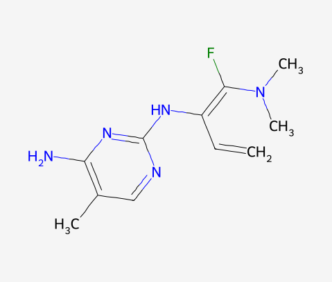 C=C/C(Nc1ncc(C)c(N)n1)=C(/F)N(C)C